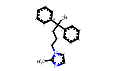 Cc1nccn1CCCC(C#N)(c1ccccc1)c1ccccc1